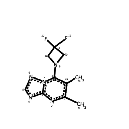 Cc1nc2ncnn2c(N2CC(F)(F)C2)c1C